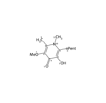 CCCCCc1c(O)c(=O)c(OC)c(C)n1C